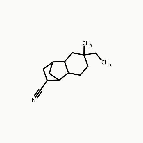 CCC1(C)CCC2C3CC(CC3C#N)C2C1